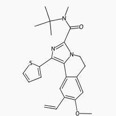 C=Cc1cc2c(cc1OC)CCn1c(C(=O)N(C)C(C)(C)C)nc(-c3cccs3)c1-2